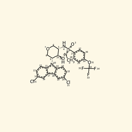 CN=S(=O)(N[C@H]1COC[C@@H](n2c3ccc(Cl)cc3c3cc(Cl)ccc32)[C@@H]1O)c1ccc(OC(F)(F)F)cc1